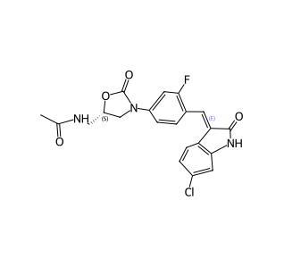 CC(=O)NC[C@H]1CN(c2ccc(/C=C3/C(=O)Nc4cc(Cl)ccc43)c(F)c2)C(=O)O1